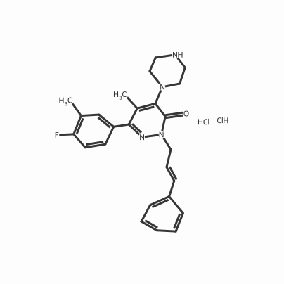 Cc1cc(-c2nn(CC=Cc3ccccc3)c(=O)c(N3CCNCC3)c2C)ccc1F.Cl.Cl